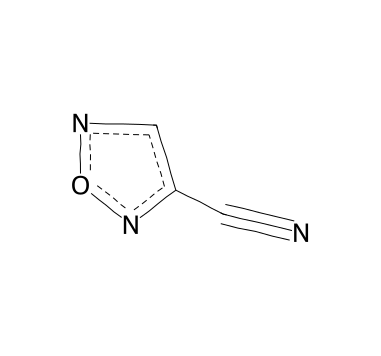 N#Cc1cnon1